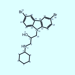 OC(CNC1CCCCC1)Cn1c2ccc(Br)cc2c2cc(Br)ccc21